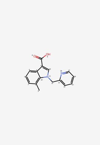 Cc1cccc2c(C(=O)O)cn(Cc3ccccn3)c12